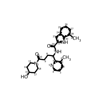 Cc1cccnc1C(CCC(=O)N1CCC(O)CC1)NC(=O)c1cc2cccc(C)c2[nH]1